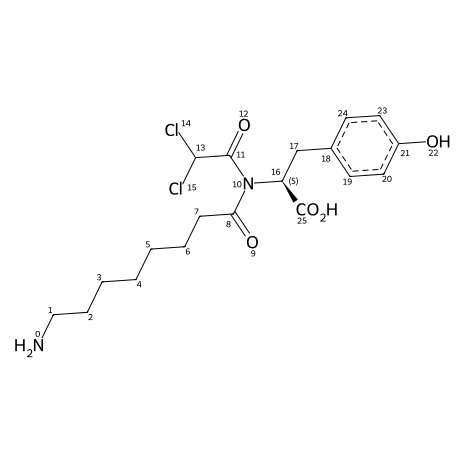 NCCCCCCCC(=O)N(C(=O)C(Cl)Cl)[C@@H](Cc1ccc(O)cc1)C(=O)O